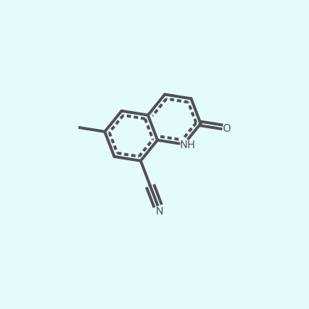 Cc1cc(C#N)c2[nH]c(=O)ccc2c1